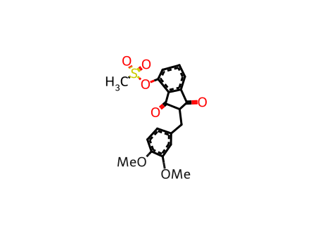 COc1ccc(CC2C(=O)c3cccc(OS(C)(=O)=O)c3C2=O)cc1OC